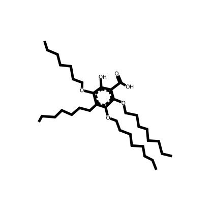 CCCCCCCCOc1c(CCCCCCC)c(OCCCCCCC)c(O)c(C(=O)O)c1OCCCCCCCC